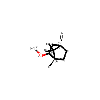 [CH2]COC1C[C@H]2CC[C@@]1(C)C2(C)C